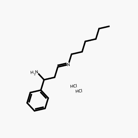 CCCCCCN=CCC(N)c1ccccc1.Cl.Cl